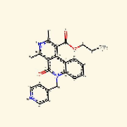 COCCOC(=O)c1c(C)nc(C)c2c(=O)n(Cc3ccncc3)c3ccccc3c12